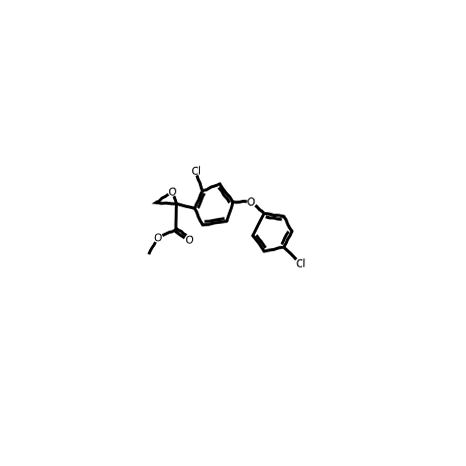 COC(=O)C1(c2ccc(Oc3ccc(Cl)cc3)cc2Cl)CO1